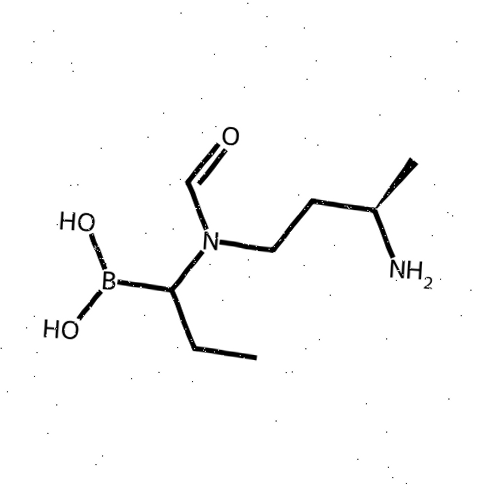 CCC(B(O)O)N(C=O)CC[C@@H](C)N